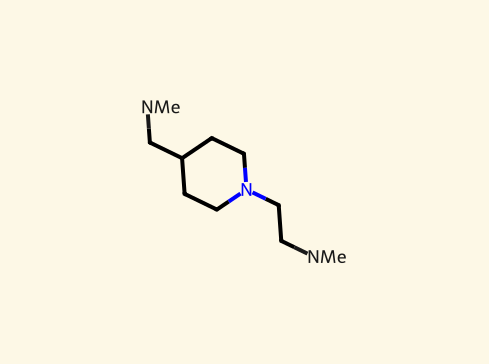 CNCCN1CCC(CNC)CC1